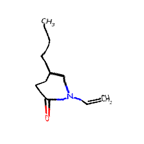 C=CN1CC(CCC)CC1=O